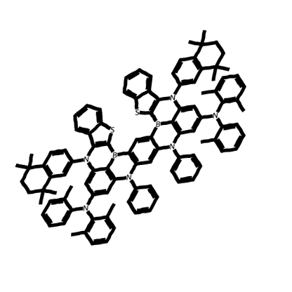 Cc1ccccc1N(c1cc2c3c(c1)N(c1ccc4c(c1)C(C)(C)CCC4(C)C)c1c(sc4ccccc14)B3c1cc3c(cc1N2c1ccccc1)N(c1ccccc1)c1cc(N(c2ccccc2C)c2c(C)cccc2C)cc2c1B3c1sc3ccccc3c1N2c1ccc2c(c1)C(C)(C)CCC2(C)C)c1c(C)cccc1C